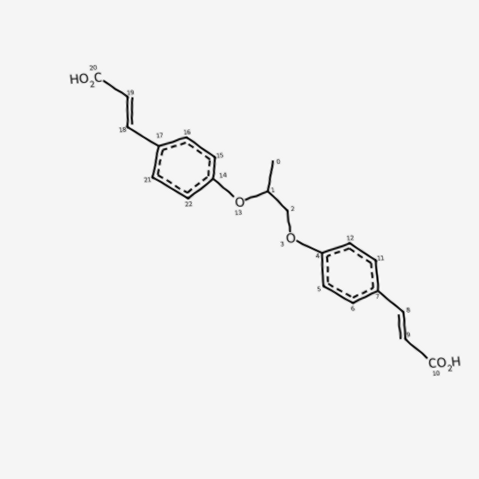 CC(COc1ccc(C=CC(=O)O)cc1)Oc1ccc(C=CC(=O)O)cc1